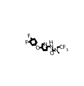 CN(CC(F)(F)F)C(=O)Nc1ccc(Oc2ccc(F)c(F)c2)cn1